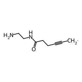 [CH2]C#CCCC(=O)NCCN